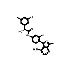 Cc1cc(Cl)cc([C@@H](O)C(=O)Nc2ccc(-n3nc(C)c4ncnc(N)c43)c(Cl)c2)c1